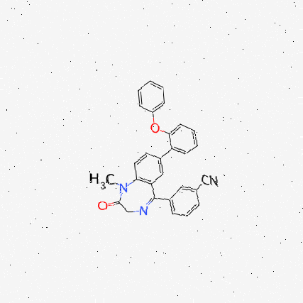 CN1C(=O)CN=C(c2cccc(C#N)c2)c2cc(-c3ccccc3Oc3ccccc3)ccc21